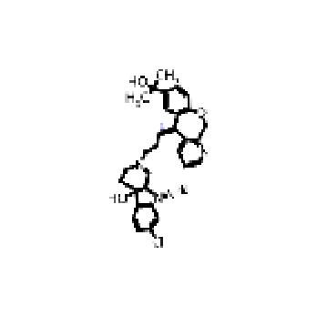 CC(C)(O)c1ccc2c(c1)/C(=C/CCN1CCC(O)(c3ccc(Cl)cc3)C(N=[N+]=[N-])C1)c1cccnc1CO2